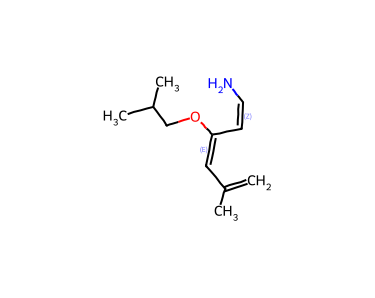 C=C(C)/C=C(\C=C/N)OCC(C)C